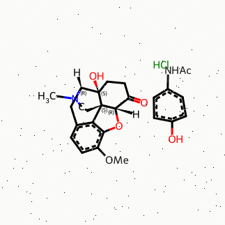 CC(=O)Nc1ccc(O)cc1.COc1ccc2c3c1O[C@H]1C(=O)CC[C@@]4(O)[C@@H](C2)N(C)CC[C@]314.Cl